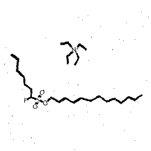 CCCCCCCCCCCCCOS(=O)(=O)C(F)CCCCCC.CC[N+](CC)(CC)CC